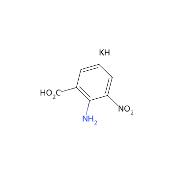 Nc1c(C(=O)O)cccc1[N+](=O)[O-].[KH]